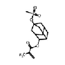 C=C(C(=O)OC1C2CC3CC1CC(OS(C)(=O)=O)(C3)C2)C(F)(F)F